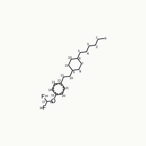 CCCCCCC1CCC(CCc2ccc(OC(F)F)cc2)CC1